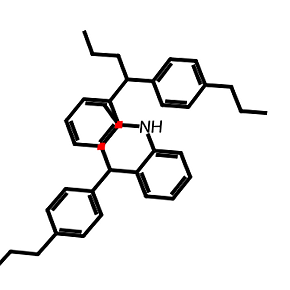 CCCc1ccc(C(CCC)c2ccccc2Nc2ccccc2C(CCC)c2ccc(CCC)cc2)cc1